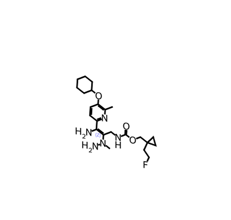 Cc1nc(/C(N)=C(\CNC(=O)OCC2(CCF)CC2)N(C)N)ccc1OC1CCCCC1